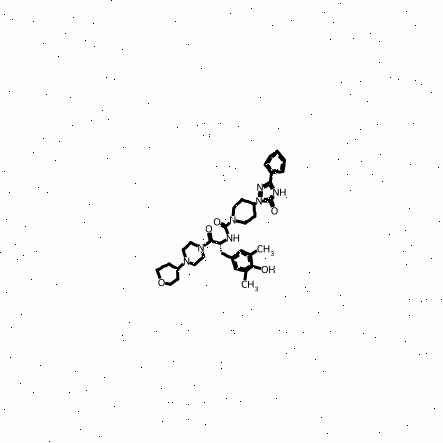 Cc1cc(C[C@@H](NC(=O)N2CCC(n3nc(-c4ccccc4)[nH]c3=O)CC2)C(=O)N2CCN(C3CCOCC3)CC2)cc(C)c1O